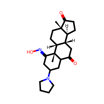 C[C@]12C(=NO)CC(N3CCCC3)CC1C(=O)C[C@@H]1[C@H]2CC[C@]2(C)C(=O)CC[C@@H]12